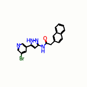 O=C(Cc1ccc2ccccc2c1)Nc1cc(-c2cncc(Br)c2)[nH]n1